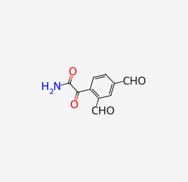 NC(=O)C(=O)c1ccc(C=O)cc1C=O